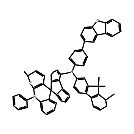 CC1C=CC2=C(C1)N(c1ccccc1)c1ccccc1C21C2=C(C(N(c3ccc(-c4ccc5oc6ccccc6c5c4)cc3)c3ccc4c(c3)C(C)(C)C3=C4C=CCC3C)=CCC2)c2ccccc21